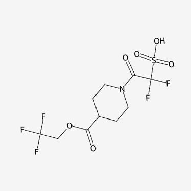 O=C(OCC(F)(F)F)C1CCN(C(=O)C(F)(F)S(=O)(=O)O)CC1